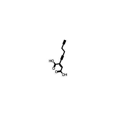 C#CCCC#C/C(=C/C(=O)O)C(=O)O